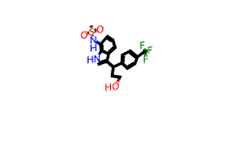 CS(=O)(=O)Nc1cccc2c(C(CCO)c3ccc(C(F)(F)F)cc3)c[nH]c12